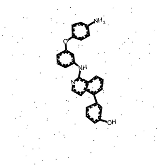 Nc1ccc(Oc2cccc(Nc3nccc4c(-c5cccc(O)c5)cccc34)c2)cc1